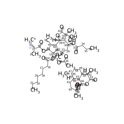 C/C=C(/C)C(=O)O[C@H]1C(C)=C2[C@H]([C@@H]1OC(=O)CCCCCCC)[C@@](C)(OC(C)=O)C[C@H](OC(=O)CCC)[C@@]1(O)[C@H]2OC(=O)[C@@]1(C)O.C[C@@H]1CC[C@H]2[C@@H](C)C(=O)O[C@@H]3O[C@]4(C)CC[C@@H]1[C@]32OO4